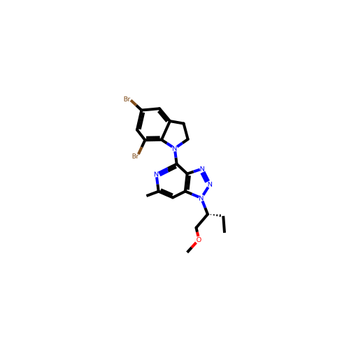 CC[C@H](COC)n1nnc2c(N3CCc4cc(Br)cc(Br)c43)nc(C)cc21